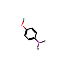 CCOc1ccc(P(CC)CC)cc1